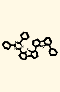 c1ccc(-c2nc(-c3ccccc3)nc(-c3cccc4c3sc3c(-c5cccc6c5sc5c(-c7ccccc7)cccc56)cccc34)n2)cc1